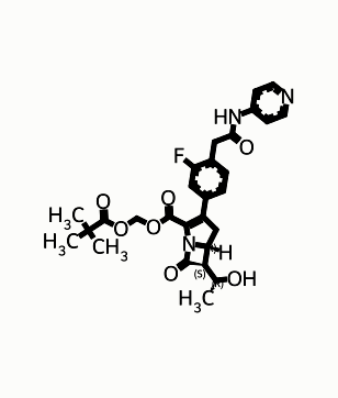 C[C@@H](O)[C@H]1C(=O)N2C(C(=O)OCOC(=O)C(C)(C)C)=C(c3ccc(CC(=O)Nc4ccncc4)c(F)c3)C[C@H]12